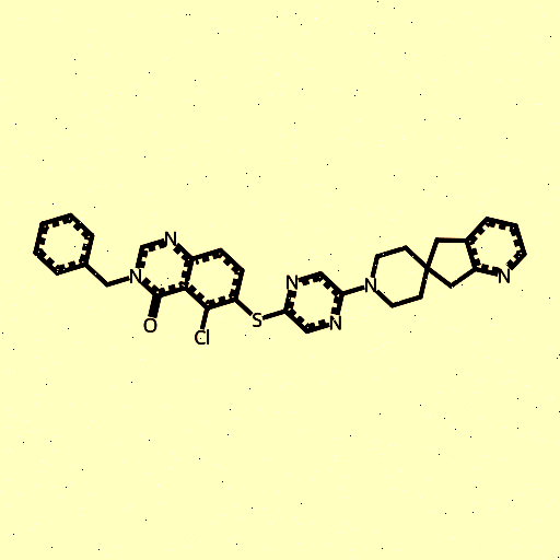 O=c1c2c(Cl)c(Sc3cnc(N4CCC5(CC4)Cc4cccnc4C5)cn3)ccc2ncn1Cc1ccccc1